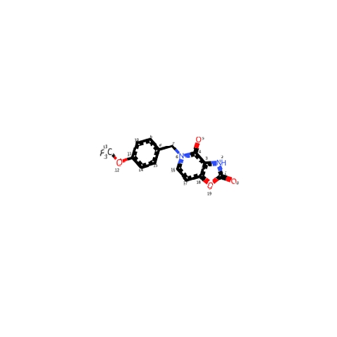 O=c1[nH]c2c(=O)n(Cc3ccc(OC(F)(F)F)cc3)ccc2o1